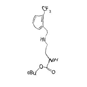 CC(C)(C)OC(=O)NCCNCc1cccc(C(F)(F)F)c1